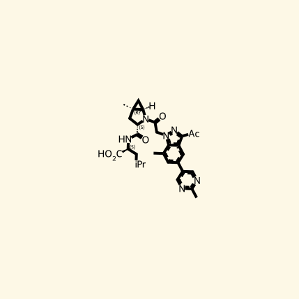 CC(=O)c1nn(CC(=O)N2[C@H](C(=O)N[C@@H](CC(C)C)C(=O)O)C[C@@]3(C)C[C@@H]23)c2c(C)cc(-c3cnc(C)nc3)cc12